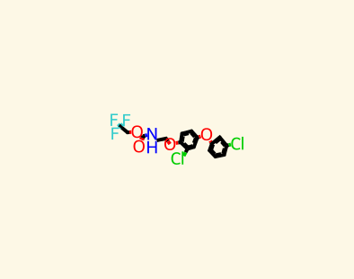 O=C(NCCOc1ccc(Oc2cccc(Cl)c2)cc1Cl)OCC(F)(F)F